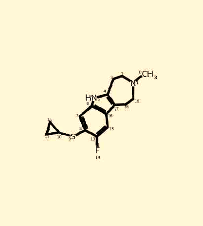 CN1CCc2[nH]c3cc(SC4CC4)c(F)cc3c2CC1